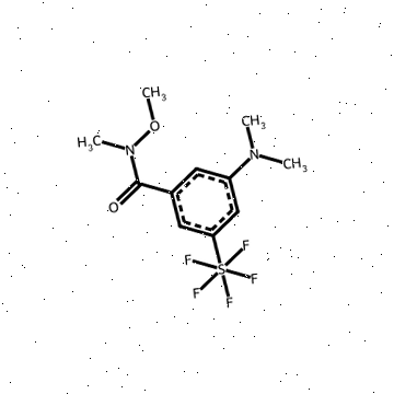 CON(C)C(=O)c1cc(N(C)C)cc(S(F)(F)(F)(F)F)c1